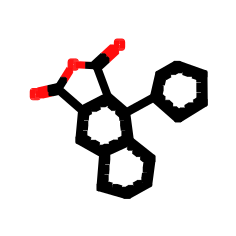 O=C1OC(=O)c2c1cc1ccccc1c2-c1ccccc1